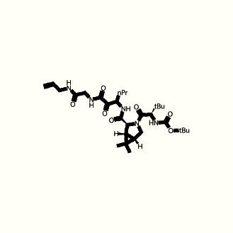 C=CCNC(=O)CNC(=O)C(=O)C(CCC)NC(=O)[C@@H]1[C@@H]2[C@H](CN1C(=O)[C@@H](NC(=O)OC(C)(C)C)C(C)(C)C)C2(C)C